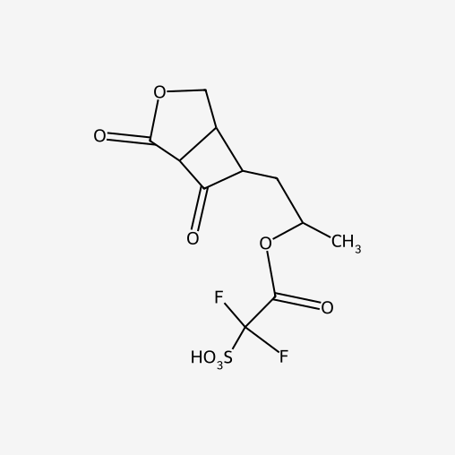 CC(CC1C(=O)C2C(=O)OCC12)OC(=O)C(F)(F)S(=O)(=O)O